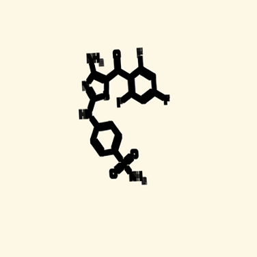 Nc1nc(Nc2ccc(S(N)(=O)=O)cc2)sc1C(=O)c1c(F)cc(F)cc1F